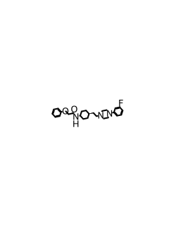 O=C(COc1ccccc1)N[C@H]1CC[C@H](CCN2CCN(c3cccc(F)c3)CC2)CC1